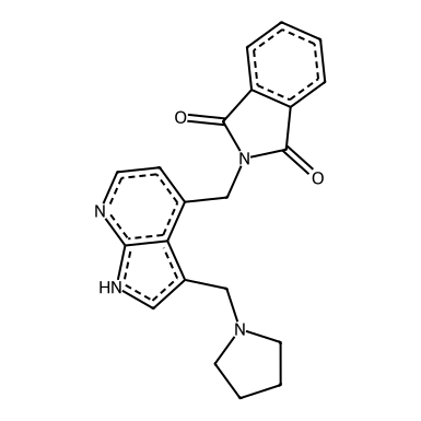 O=C1c2ccccc2C(=O)N1Cc1ccnc2[nH]cc(CN3CCCC3)c12